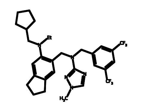 CCN(CC1CCCC1)c1cc2c(cc1CN(Cc1cc(C(F)(F)F)cc(C(F)(F)F)c1)c1ncn(C)n1)CCC2